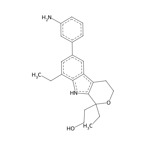 CCc1cc(-c2cccc(N)c2)cc2c3c([nH]c12)C(CC)(CCO)OCC3